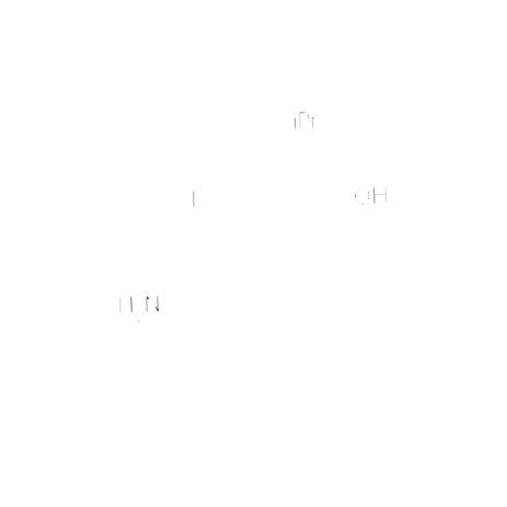 CC(C)C(O)C(I)c1ccccc1N